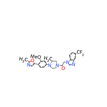 COc1cc(N2CCN(C(=O)Cn3cnc4cc(C(F)(F)F)ccc43)C[C@@H]2C)ccc1-c1cnc(C)o1